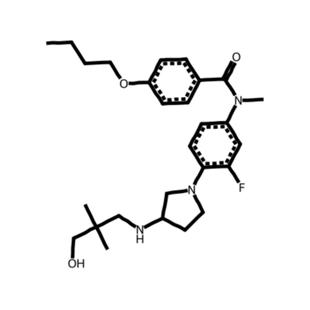 CCCCOc1ccc(C(=O)N(C)c2ccc(N3CCC(NCC(C)(C)CO)C3)c(F)c2)cc1